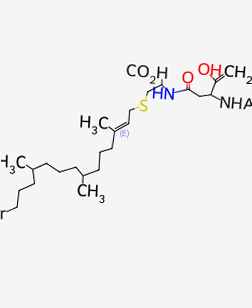 C=C(O)C(CC(=O)NC(CSC/C=C(\C)CCCC(C)CCCC(C)CCCC(C)C)C(=O)O)NC(C)=O